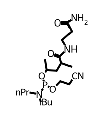 CCCN(C(C)CC)P(OCCC#N)OC(C)CC(C)C(=O)NCCC(N)=O